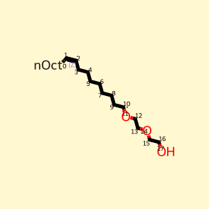 CCCCCCCC/C=C\CCCCCCC[CH]OCCOCCO